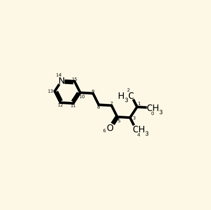 C[C](C)C(C)C(=O)CCCc1cccnc1